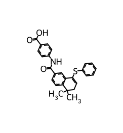 CC1(C)CC=C(Sc2ccccc2)c2cc(C(=O)Nc3ccc(C(=O)O)cc3)ccc21